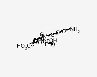 NCCCOCCOCCOCCCNC(=O)c1cc2ccc(OCC(=O)O)cc2oc1=O.O=C(O)C(F)(F)F